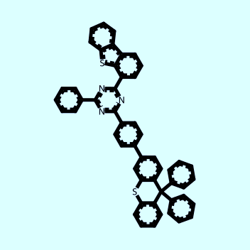 c1ccc(-c2nc(-c3ccc(-c4ccc5c(c4)Sc4ccccc4C5(c4ccccc4)c4ccccc4)cc3)nc(-c3cccc4c3sc3ccccc34)n2)cc1